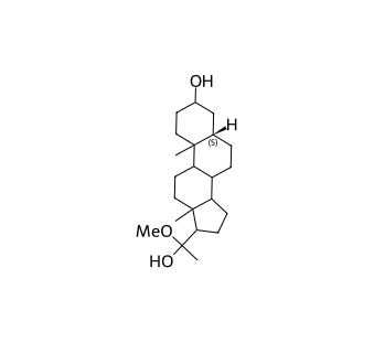 COC(C)(O)C1CCC2C3CC[C@H]4CC(O)CCC4(C)C3CCC21C